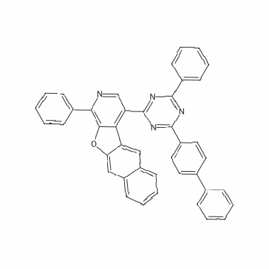 c1ccc(-c2ccc(-c3nc(-c4ccccc4)nc(-c4cnc(-c5ccccc5)c5oc6cc7ccccc7cc6c45)n3)cc2)cc1